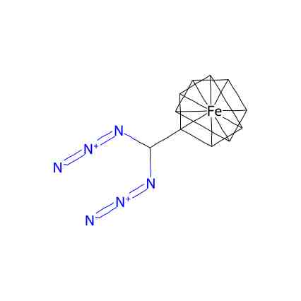 [N-]=[N+]=NC(N=[N+]=[N-])[C]12[CH]3[CH]4[CH]5[CH]1[Fe]45321678[CH]2[CH]1[CH]6[CH]7[CH]28